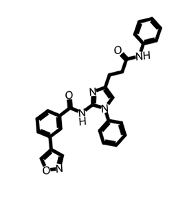 O=C(CCc1cn(-c2ccccc2)c(NC(=O)c2cccc(-c3cnoc3)c2)n1)Nc1ccccc1